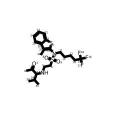 CC(=O)C(NCCS(=O)(=O)N(CCCCC(F)(F)F)c1sc2ccccc2c1C)C(C)C